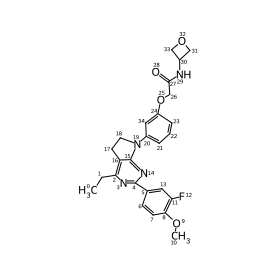 CCc1nc(-c2ccc(OC)c(F)c2)nc2c1CCN2c1cccc(OCC(=O)NC2COC2)c1